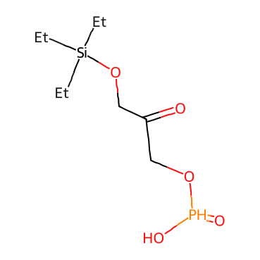 CC[Si](CC)(CC)OCC(=O)CO[PH](=O)O